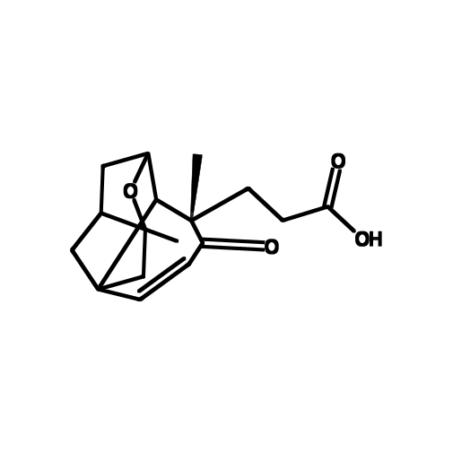 CC12CC34C=CC(=O)[C@@](C)(CCC(=O)O)C3C(CC1C4)O2